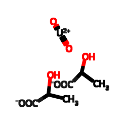 CC(O)C(=O)[O-].CC(O)C(=O)[O-].[O]=[U+2]=[O]